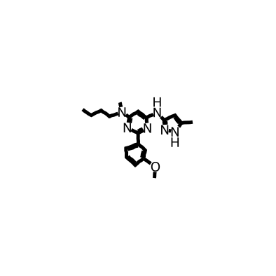 CCCCN(C)c1cc(Nc2cc(C)[nH]n2)nc(-c2cccc(OC)c2)n1